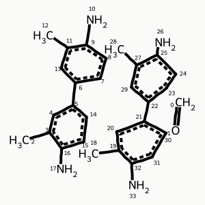 C=O.Cc1cc(-c2ccc(N)c(C)c2)ccc1N.Cc1cc(-c2ccc(N)c(C)c2)ccc1N